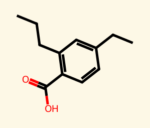 CCCc1cc(CC)ccc1C(=O)O